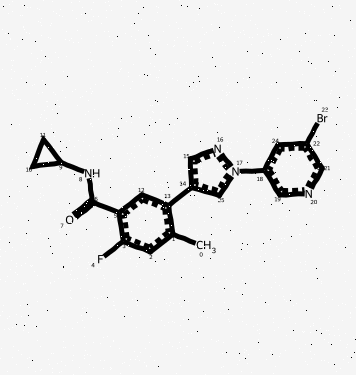 Cc1cc(F)c(C(=O)NC2CC2)cc1-c1cnn(-c2cncc(Br)c2)c1